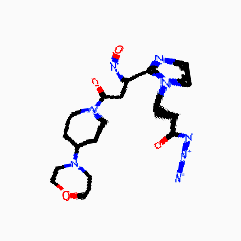 [N-]=[N+]=NC(=O)CCn1ccnc1C(CC(=O)N1CCC(N2CCOCC2)CC1)N=O